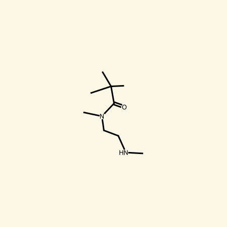 CNCCN(C)C(=O)C(C)(C)C